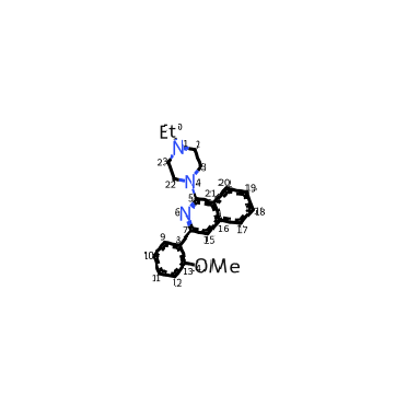 CCN1CCN(c2nc(-c3ccccc3OC)cc3ccccc23)CC1